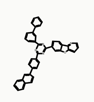 c1ccc(-c2cccc(-c3nc(-c4ccc(-c5ccc6ccccc6c5)cc4)nc(-c4ccc5c(c4)oc4cccnc45)n3)c2)cc1